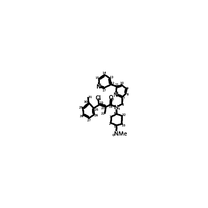 CNC1CCC(N(Cc2cccc(-c3cccnc3)n2)C(=O)/C(C)=C(\Cl)c2ccccc2C)CC1